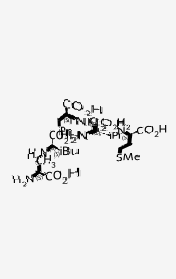 CC(C)C[C@H](N)C(=O)O.CC(C)[C@H](N)C(=O)O.CC[C@H](C)[C@H](N)C(=O)O.CSCC[C@H](N)C(=O)O.C[C@H](N)C(=O)O